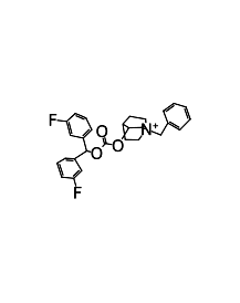 O=C(OC(c1cccc(F)c1)c1cccc(F)c1)OC1C[N+]2(Cc3ccccc3)CCC1CC2